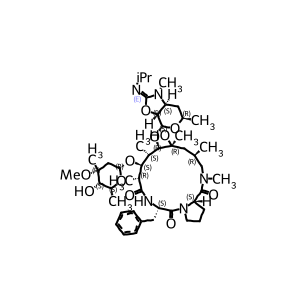 CO[C@]1(C)C[C@H](O[C@H]2[C@H](C)[C@@H](O[C@@H]3O[C@H](C)C[C@H]4[C@H]3O/C(=N/C(C)C)N4C)[C@](C)(O)C[C@@H](C)CN(C)C(=O)[C@@H]3CCCN3C(=O)[C@H](Cc3ccccc3)NC(=O)[C@@H]2C)O[C@@H](C)[C@@H]1O